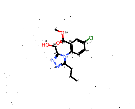 CCCc1nnc(CO)n1-c1ccc(Cl)cc1C(=O)OC